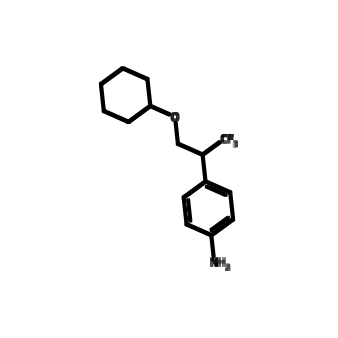 Nc1ccc(C(COC2CCCCC2)C(F)(F)F)cc1